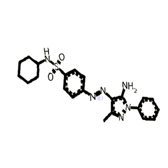 Cc1nn(-c2ccccc2)c(N)c1/N=N/c1ccc(S(=O)(=O)NC2CCCCC2)cc1